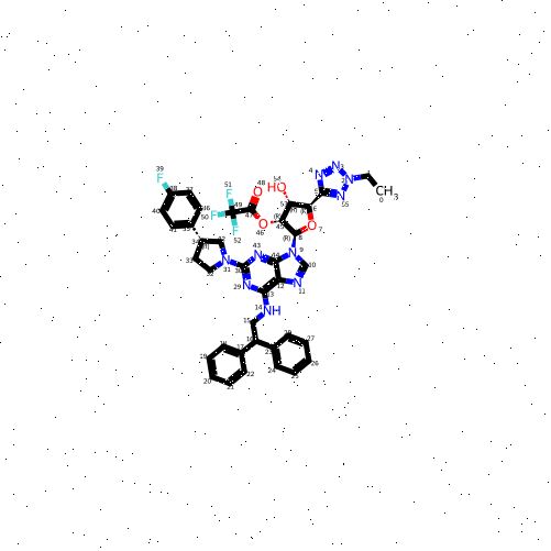 CCn1nnc([C@H]2O[C@@H](n3cnc4c(NCC(c5ccccc5)c5ccccc5)nc(N5CC[C@H](c6ccc(F)cc6)C5)nc43)[C@H](OC(=O)C(F)(F)F)[C@@H]2O)n1